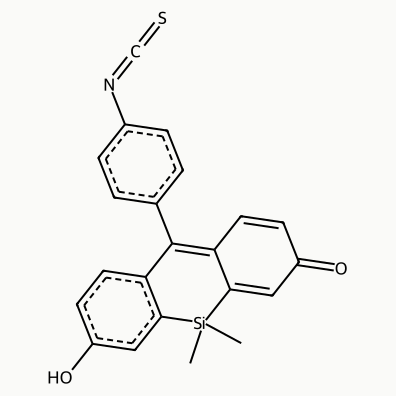 C[Si]1(C)C2=CC(=O)C=CC2=C(c2ccc(N=C=S)cc2)c2ccc(O)cc21